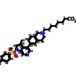 CCOC(=O)CCCCCCCN1CCc2cc(-c3cncc4c3c(C)cn4S(=O)(=O)c3ccc(C)cc3)ccc2C1